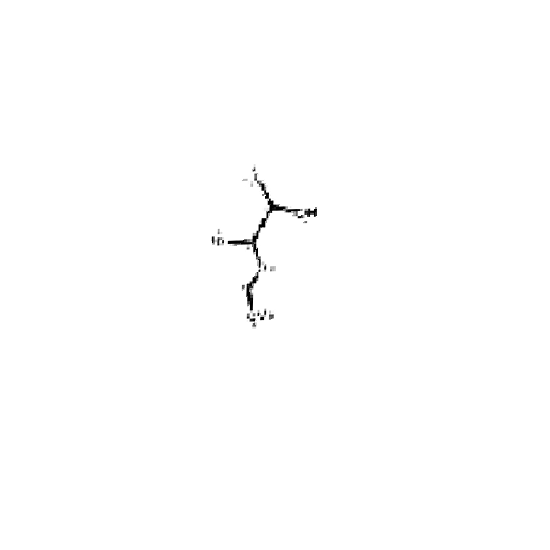 COCOC(S)C(C)O